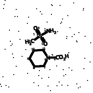 CS(N)(=O)=O.O=C(O)N1CCCCC1